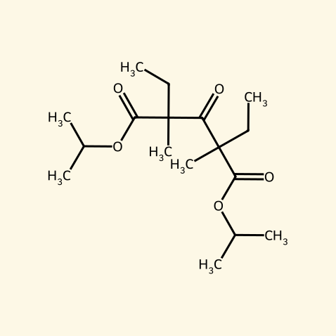 CCC(C)(C(=O)OC(C)C)C(=O)C(C)(CC)C(=O)OC(C)C